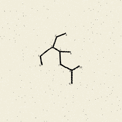 CC[C](CC)C(C)CC(C)C